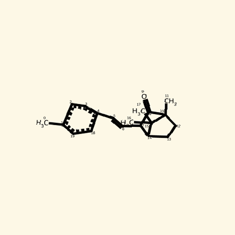 Cc1ccc(C=CC2C(=O)C3(C)CCC2C3(C)C)cc1